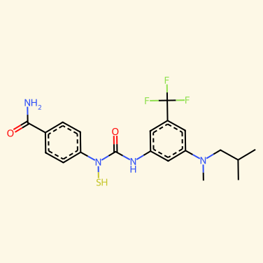 CC(C)CN(C)c1cc(NC(=O)N(S)c2ccc(C(N)=O)cc2)cc(C(F)(F)F)c1